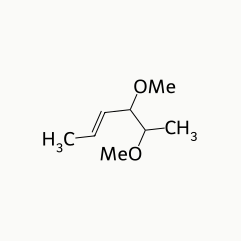 CC=CC(OC)C(C)OC